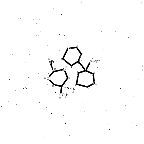 CCCCCCCC1(C2CCCCC2)CCCCC1.CCC[C@H]1OC[C@@](C#N)(C(=O)O)CO1